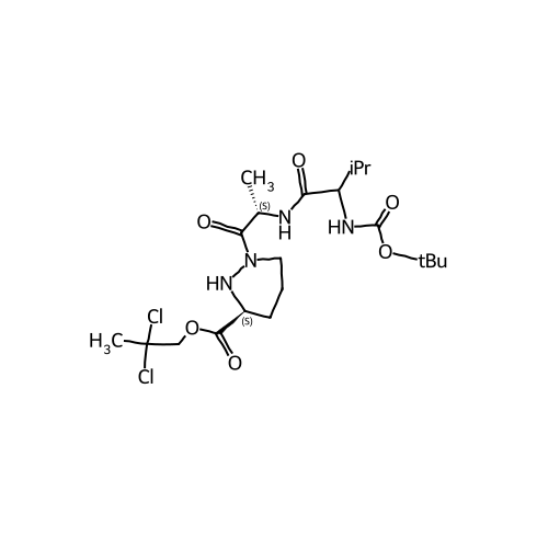 CC(C)C(NC(=O)OC(C)(C)C)C(=O)N[C@@H](C)C(=O)N1CCC[C@@H](C(=O)OCC(C)(Cl)Cl)N1